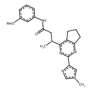 COc1cccc(NC(=O)CN(C)c2nc(-c3cn(C)cn3)nc3c2CCC3)c1